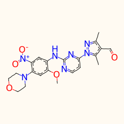 COc1cc(N2CCOCC2)c([N+](=O)[O-])cc1Nc1nccc(-n2nc(C)c(C=O)c2C)n1